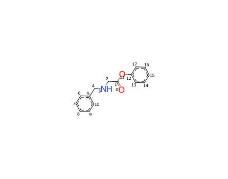 O=C(CNCc1ccccc1)Oc1ccccc1